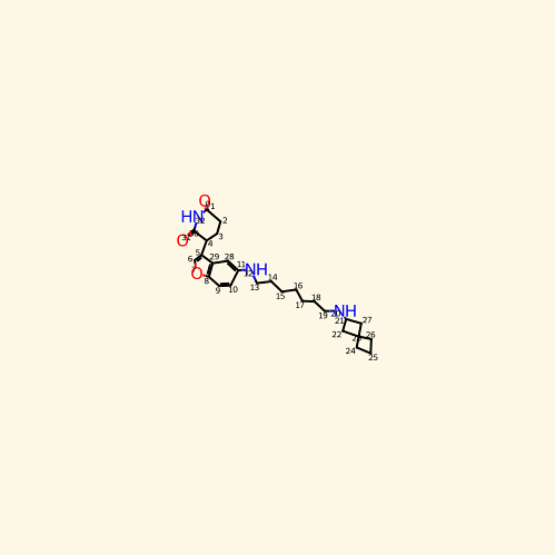 O=C1CCC(c2coc3ccc(NCCCCCCCNC4CC5(CCC5)C4)cc23)C(=O)N1